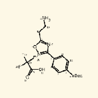 CCCCCCCCCCc1ccc(-c2noc(CCN)n2)cc1.O=C(O)C(F)(F)F